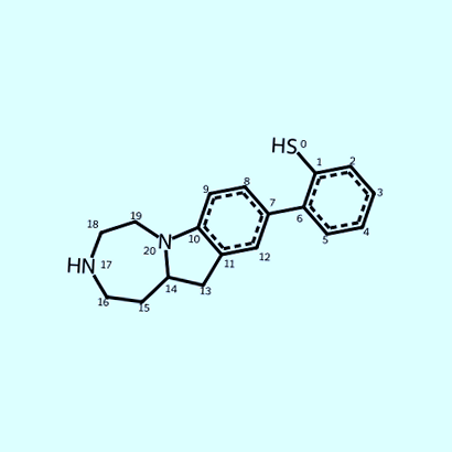 Sc1ccccc1-c1ccc2c(c1)CC1CCNCCN21